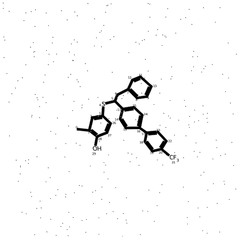 Cc1cc(SC(Cc2ccccc2)c2ccc(-c3ccc(C(F)(F)F)cc3)cc2)ccc1O